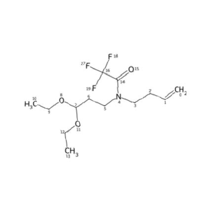 C=CCCN(CCC(OCC)OCC)C(=O)C(F)(F)F